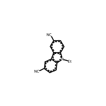 CCn1c2ccc(C#N)cc2c2cc(C#N)ccc21